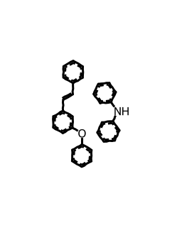 C(=Cc1cccc(Oc2ccccc2)c1)c1ccccc1.c1ccc(Nc2ccccc2)cc1